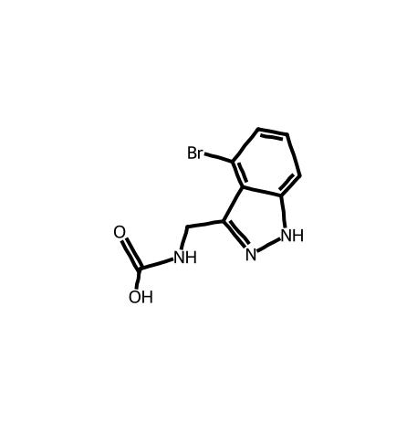 O=C(O)NCc1n[nH]c2cccc(Br)c12